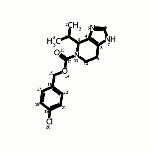 CC(C)C1c2nc[nH]c2CCN1C(=O)OCc1ccc(Cl)cc1